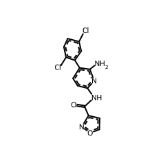 Nc1nc(NC(=O)c2ccon2)ccc1-c1cc(Cl)ccc1Cl